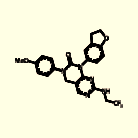 COc1ccc(N2Cc3cnc(NCC(F)(F)F)nc3N(c3ccc4c(c3)CCO4)C2=O)cc1